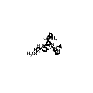 COc1nccc(N2CCC(Cn3c(-c4cc5cccnc5n4CC4CC4)nc4cc(C(=O)N5CC6CCC5[C@@H]6N)cc(OC)c43)CC2)n1